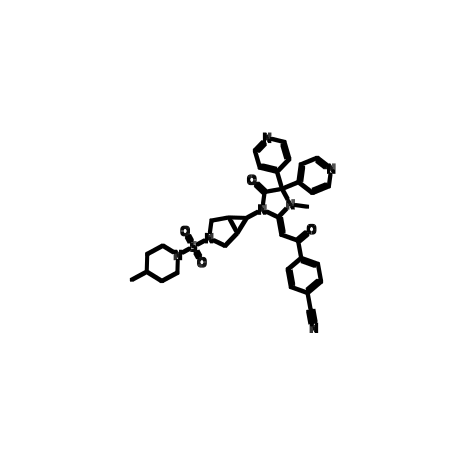 CC1CCN(S(=O)(=O)N2CC3C(C2)C3N2C(=O)C(c3ccncc3)(c3ccncc3)N(C)C2=CC(=O)c2ccc(C#N)cc2)CC1